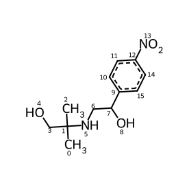 CC(C)(CO)NCC(O)c1ccc([N+](=O)[O-])cc1